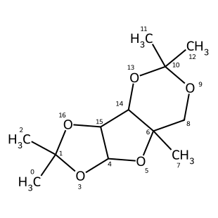 CC1(C)OC2OC3(C)COC(C)(C)OC3C2O1